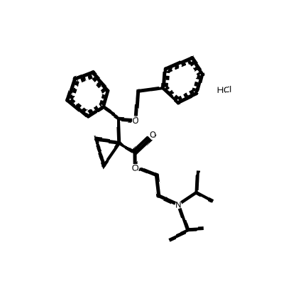 CC(C)N(CCOC(=O)C1(C(OCc2ccccc2)c2ccccc2)CC1)C(C)C.Cl